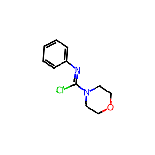 ClC(=Nc1ccccc1)N1CCOCC1